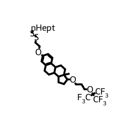 CCCCCCCSSCCOc1ccc2c(c1)CCC1C2CCC2(C)C(OCCCOC(C(F)(F)F)(C(F)(F)F)C(F)(F)F)CCC12